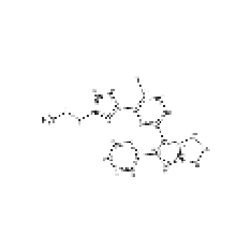 NCCn1cc(-c2cc(-c3c(-c4ccccn4)nn4c3CCC4)ccc2F)cn1